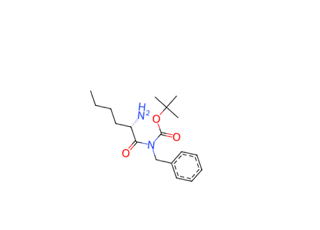 CCCC[C@H](N)C(=O)N(Cc1ccccc1)C(=O)OC(C)(C)C